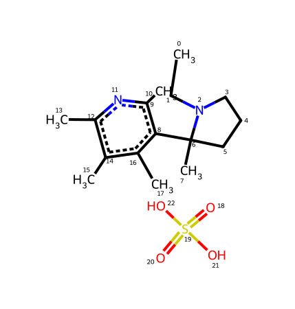 CCN1CCCC1(C)c1c(C)nc(C)c(C)c1C.O=S(=O)(O)O